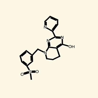 CS(=O)(=O)c1cccc(CN2CCCc3c(O)nc(-c4ccccn4)nc32)c1